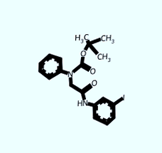 CC(C)(C)OC(=O)N(CC(=O)Nc1cccc(I)c1)c1ccccc1